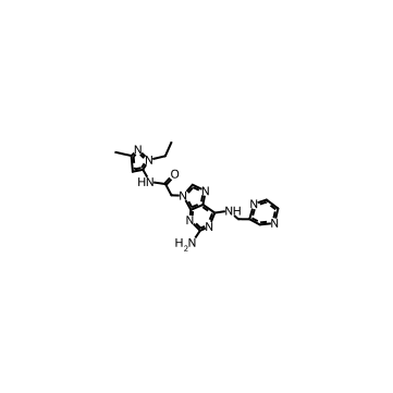 CCn1nc(C)cc1NC(=O)Cn1cnc2c(NCc3cnccn3)nc(N)nc21